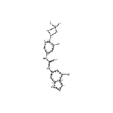 Cc1cc(NC(=O)Nc2cc(Cl)c3cc[nH]c3c2)cnc1N1CC(F)(F)C1